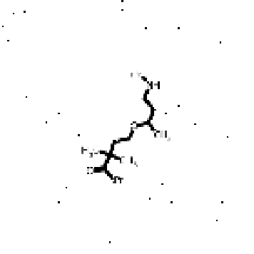 CC(C)NCCC(C)OCCC(C)(C)C(=O)C(C)C